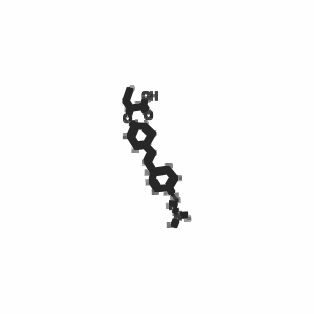 CCC(Oc1ccc(/C=C/c2ccc(/N=N/N(C)C)cc2)cc1)C(=O)O